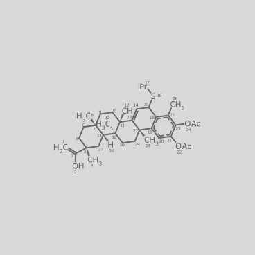 C=C(O)[C@]1(C)CC[C@]2(C)CC[C@]3(C)C4=CC(SC(C)C)c5c(cc(OC(C)=O)c(OC(C)=O)c5C)[C@]4(C)CC[C@@]3(C)[C@@H]2C1